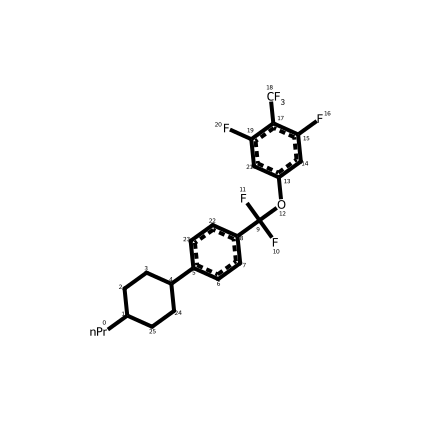 CCCC1CCC(c2ccc(C(F)(F)Oc3cc(F)c(C(F)(F)F)c(F)c3)cc2)CC1